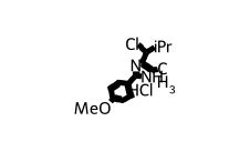 COc1ccc(-c2nc(C(Cl)C(C)C)c(C)[nH]2)cc1.Cl